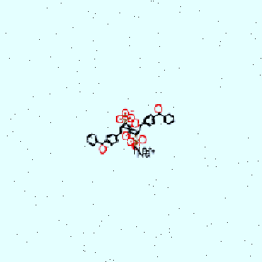 O=C(c1ccccc1)c1ccc(C2Oc3c4c(S(=O)(=O)[O-])c2c(c3S(=O)(=O)[O-])C(c2ccc(C(=O)c3ccccc3)cc2)O4)cc1.[Na+].[Na+]